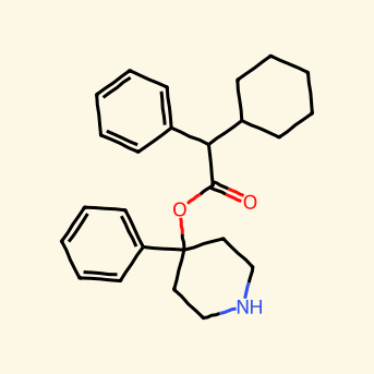 O=C(OC1(c2ccccc2)CCNCC1)C(c1ccccc1)C1CCCCC1